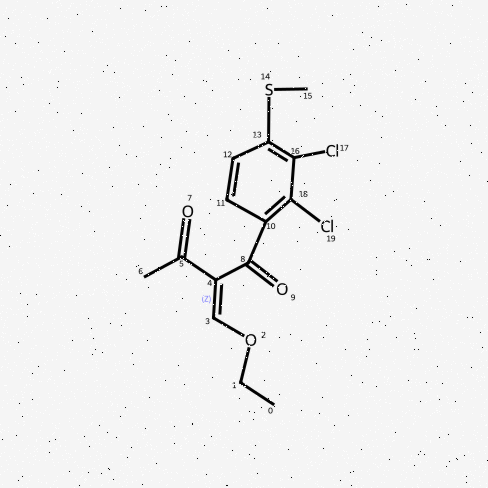 CCO/C=C(/C(C)=O)C(=O)c1ccc(SC)c(Cl)c1Cl